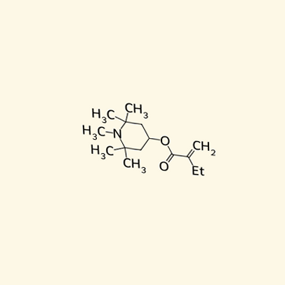 C=C(CC)C(=O)OC1CC(C)(C)N(C)C(C)(C)C1